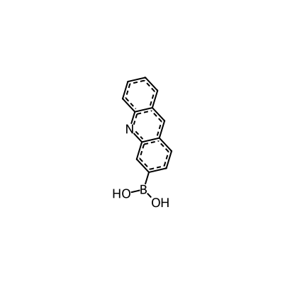 OB(O)c1ccc2cc3ccccc3nc2c1